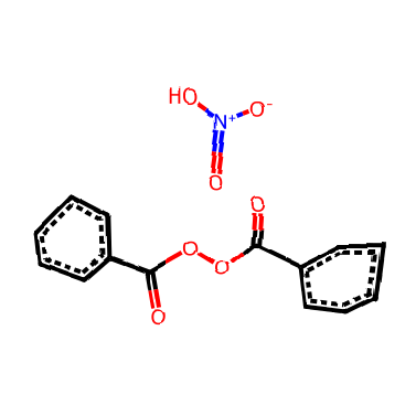 O=C(OOC(=O)c1ccccc1)c1ccccc1.O=[N+]([O-])O